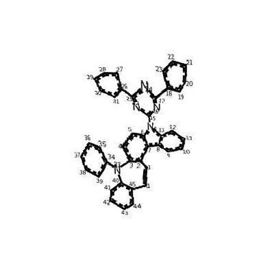 C1=Cc2c(ccc3c2c2ccccc2n3-c2nc(-c3ccccc3)nc(-c3ccccc3)n2)N(c2ccccc2)c2ccccc21